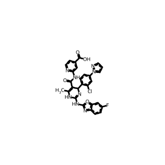 CC1=C(C(=O)Nc2cc(C(=O)O)ccn2)C(c2ccc(-n3cccn3)cc2Cl)N=C(Nc2nc3ccc(F)cc3o2)N1